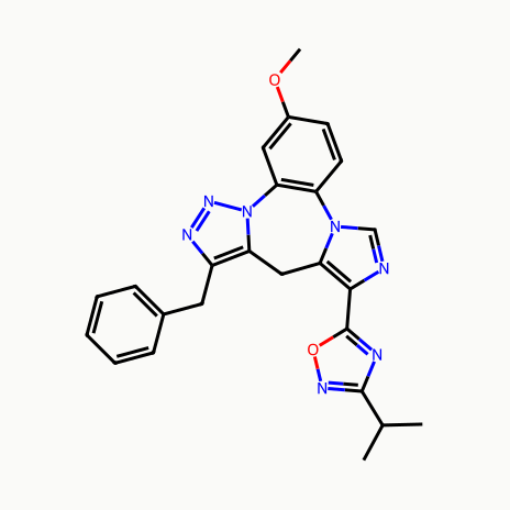 COc1ccc2c(c1)-n1nnc(Cc3ccccc3)c1Cc1c(-c3nc(C(C)C)no3)ncn1-2